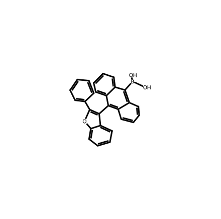 OB(O)c1c2ccccc2c(-c2c(-c3ccccc3)oc3ccccc23)c2ccccc12